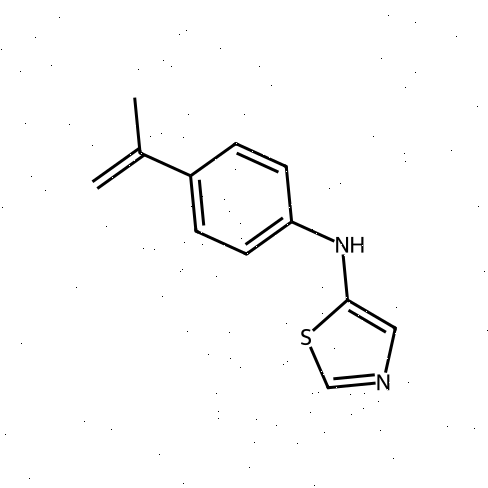 C=C(C)c1ccc(Nc2cncs2)cc1